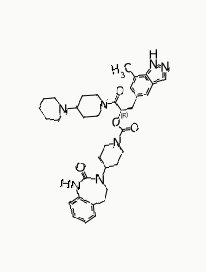 Cc1cc(C[C@@H](OC(=O)N2CCC(N3CCc4ccccc4NC3=O)CC2)C(=O)N2CCC(N3CCCCC3)CC2)cc2cn[nH]c12